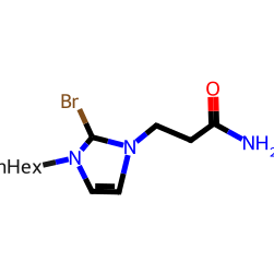 CCCCCCN1C=CN(CCC(N)=O)C1Br